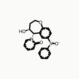 O=c1ccccn1[C@H]1c2cc([S+]([O-])c3ccccc3)ccc2OCC[C@@H]1O